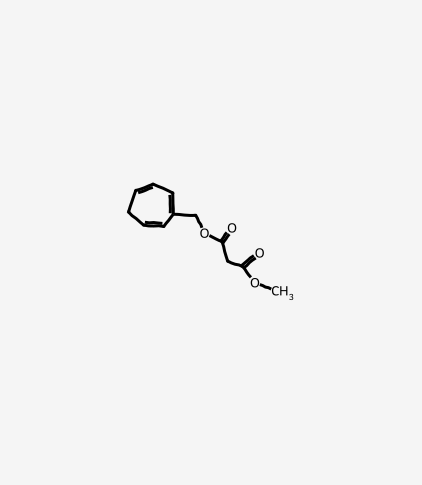 COC(=O)CC(=O)OCC1=CC=CCC=C1